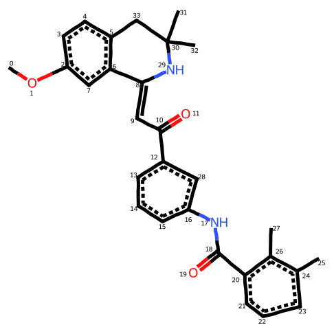 COc1ccc2c(c1)/C(=C/C(=O)c1cccc(NC(=O)c3cccc(C)c3C)c1)NC(C)(C)C2